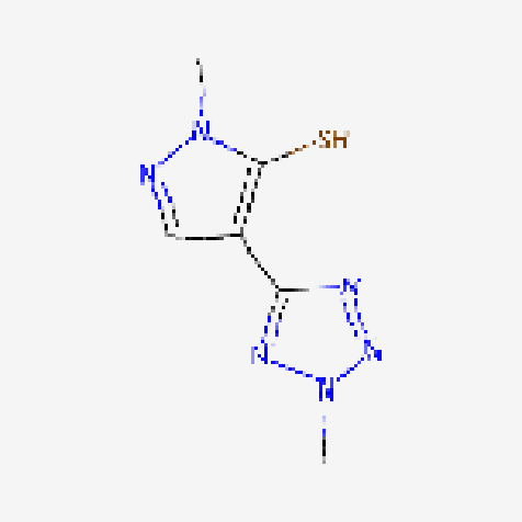 Cn1nnc(-c2cnn(C)c2S)n1